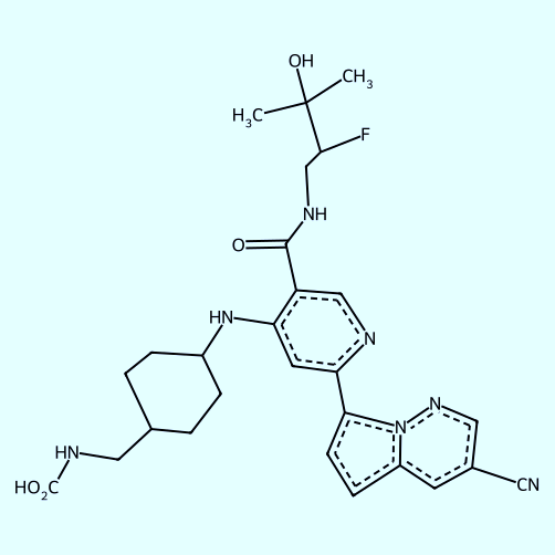 CC(C)(O)C(F)CNC(=O)c1cnc(-c2ccc3cc(C#N)cnn23)cc1NC1CCC(CNC(=O)O)CC1